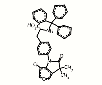 CC1(C)C(=O)N(c2ccc(CC(NC(c3ccccc3)(c3ccccc3)c3ccccc3)C(=O)O)cc2)c2c(Cl)cccc21